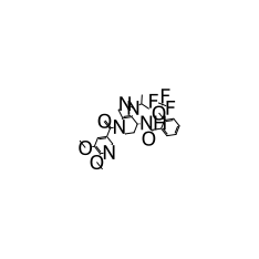 COc1cc(C(=O)N2CC[C@@H](NC(=O)c3ccccc3OC(F)(F)F)c3c2cnn3C(C)C)cnc1OC